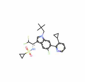 CC(C)(C)Cn1cc([C@H](NS(=O)(=O)C2CC2)C(F)F)c2cc(F)c(-c3ncccc3C3CC3)cc21